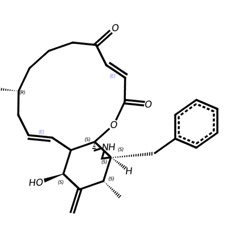 C=C1[C@@H](O)C2/C=C/C[C@H](C)CCCC(=O)/C=C/C(=O)O[C@]23CN[C@@H](Cc2ccccc2)[C@@H]3[C@@H]1C